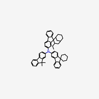 CCC1CC2CCCC(C2)C12c1ccccc1-c1ccc(N(c3ccc4c(c3)-c3ccccc3C43CCCCC3)c3ccc4c(c3)C(C)(C)c3ccccc3-4)cc12